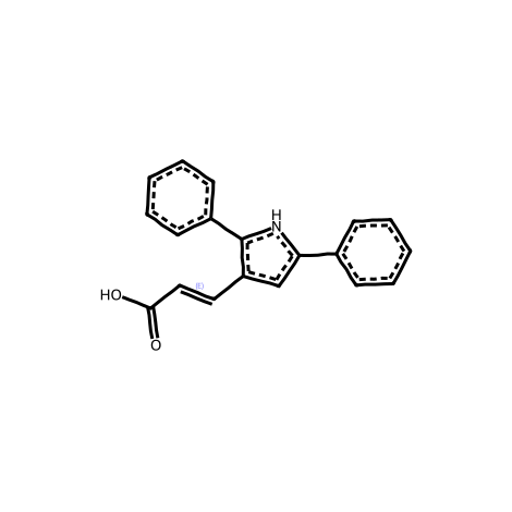 O=C(O)/C=C/c1cc(-c2ccccc2)[nH]c1-c1ccccc1